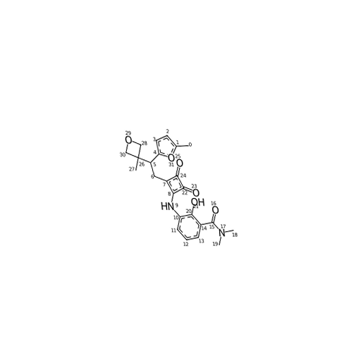 Cc1ccc(C(Cc2c(Nc3cccc(C(=O)N(C)C)c3O)c(=O)c2=O)C2(C)COC2)o1